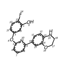 Oc1cc(Oc2cccc(-c3ccc4c(c3)OCCN4)n2)ccc1F